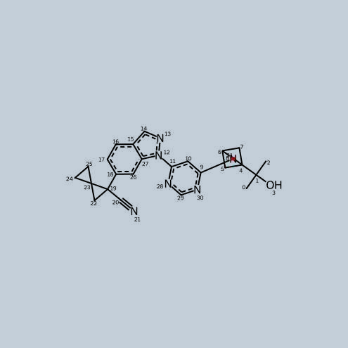 CC(C)(O)C12CC(C1)N(c1cc(-n3ncc4ccc(C5(C#N)CC56CC6)cc43)ncn1)C2